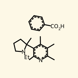 CCN1CCCC1(C)c1c(C)nc(C)c(C)c1C.O=C(O)c1ccccc1